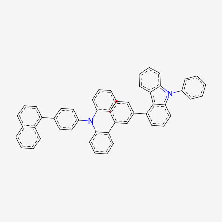 c1ccc(N(c2ccc(-c3cccc4ccccc34)cc2)c2ccccc2-c2cccc(-c3cccc4c3c3ccccc3n4-c3ccccc3)c2)cc1